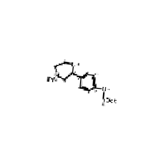 [CH2]C(C)N1CCOC(c2ccc(OCCCCCCCC)cc2)C1